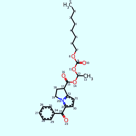 CCCCCCCCOC(=O)OC(C)OC(=O)C1CCn2c(C(=O)c3ccccc3)ccc21